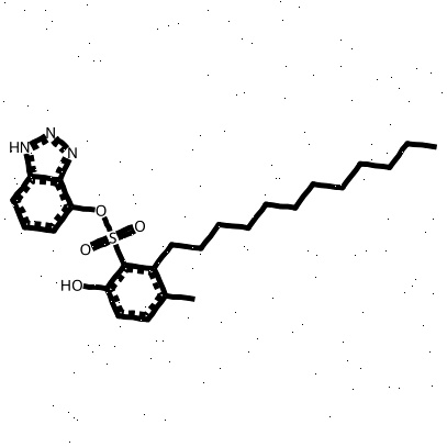 CCCCCCCCCCCCc1c(C)ccc(O)c1S(=O)(=O)Oc1cccc2[nH]nnc12